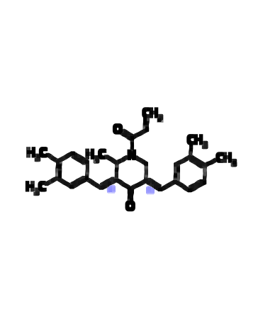 C=CC(=O)N1C/C(=C\c2ccc(C)c(C)c2)C(=O)/C(=C/c2ccc(C)c(C)c2)C1C